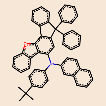 CC(C)(C)c1ccc(N(c2ccc3ccccc3c2)c2cc3c(c4oc5ccccc5c24)-c2ccccc2C3(c2ccccc2)c2ccccc2)cc1